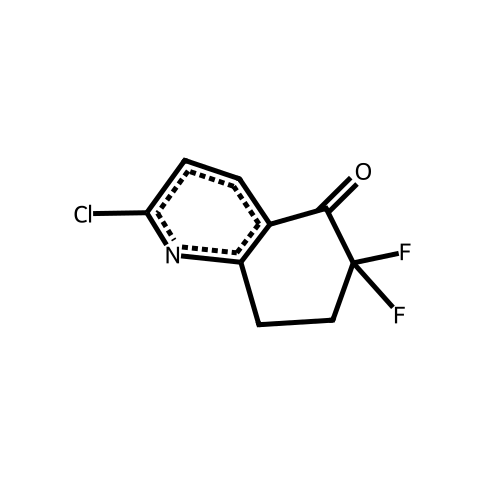 O=C1c2ccc(Cl)nc2CCC1(F)F